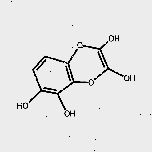 OC1=C(O)Oc2c(ccc(O)c2O)O1